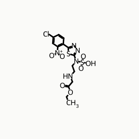 CCOC(=O)CNCCN(c1nnc(-c2ccc(Cl)cc2[N+](=O)[O-])s1)S(=O)(=O)O